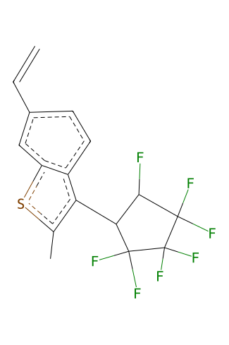 C=Cc1ccc2c(C3C(F)C(F)(F)C(F)(F)C3(F)F)c(C)sc2c1